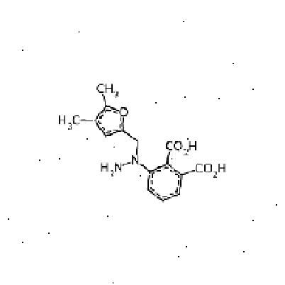 Cc1cc(CN(N)c2cccc(C(=O)O)c2C(=O)O)oc1C